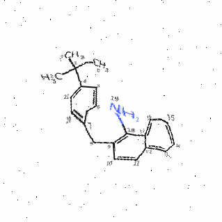 CC(C)(C)c1ccc(Cc2ccc3ccccc3c2N)cc1